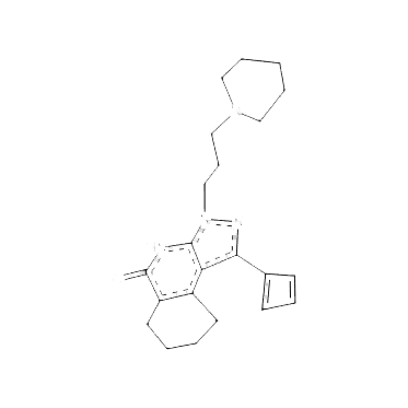 O=c1[nH]c2c(c(C3=CC=C3)nn2CCCN2CCCCC2)c2c1CCCC2